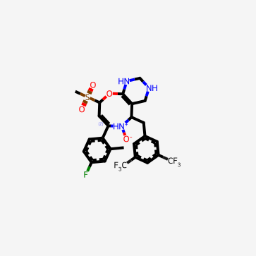 Cc1cc(F)ccc1/C1=C/C(S(C)(=O)=O)OC2=C(CNCN2)C(Cc2cc(C(F)(F)F)cc(C(F)(F)F)c2)[NH+]1[O-]